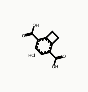 Cl.O=C(O)c1ccc(C(=O)O)c2c1CC2